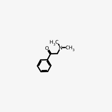 CN(C)CC(=O)c1ccccc1